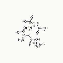 N[C@@H](CC(=O)O)C(=O)[O-].N[C@@H](CC(=O)O)C(=O)[O-].O.[Zn+2]